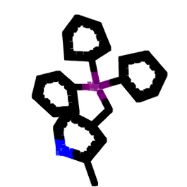 Cc1cc(C[PH](c2ccccc2)(c2ccccc2)c2ccccc2)ccn1